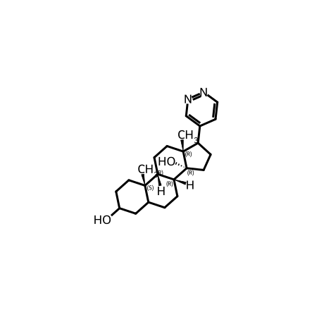 C[C@]12CCC(O)CC1CC[C@@H]1[C@H]2CC[C@]2(C)C(c3ccnnc3)CC[C@@]12O